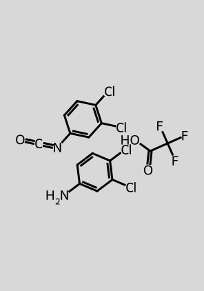 Nc1ccc(Cl)c(Cl)c1.O=C(O)C(F)(F)F.O=C=Nc1ccc(Cl)c(Cl)c1